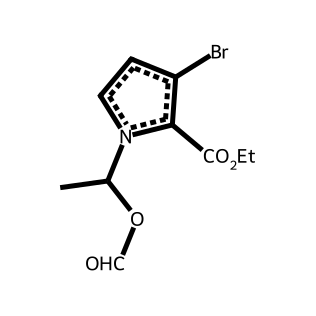 CCOC(=O)c1c(Br)ccn1C(C)OC=O